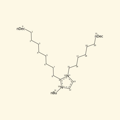 CCCCCCCCCCCCCCCCCCc1n(CCCC)cc[n+]1CCCCCCCCCCCCCCCC